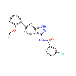 CCOc1ccccc1-c1ccc2c(NC(=O)c3cccc(F)c3)n[nH]c2c1